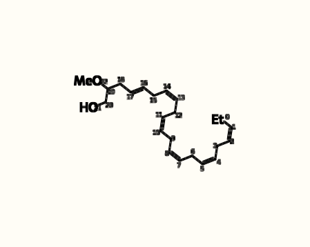 CC/C=C\C/C=C\C/C=C\C/C=C\C/C=C\C/C=C/CC(CO)OC